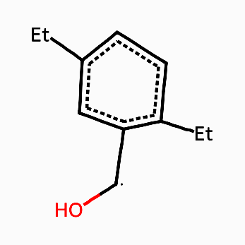 CCc1ccc(CC)c([CH]O)c1